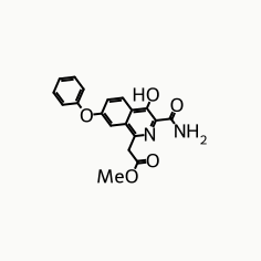 COC(=O)Cc1nc(C(N)=O)c(O)c2ccc(Oc3ccccc3)cc12